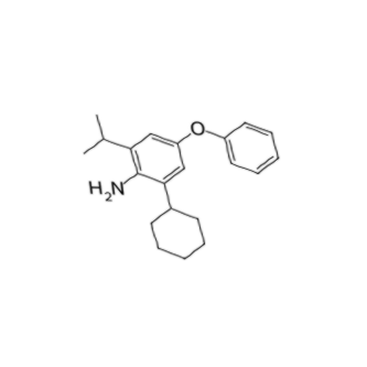 CC(C)c1cc(Oc2ccccc2)cc(C2CCCCC2)c1N